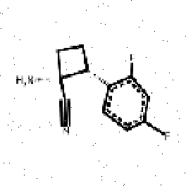 N#C[C@@]1(N)CC[C@@H]1c1ccc(F)cc1F